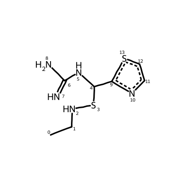 CCNSC(NC(=N)N)c1nccs1